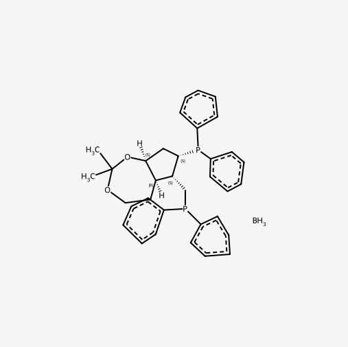 B.CC1(C)OCC[C@@H]2[C@@H](CP(c3ccccc3)c3ccccc3)[C@@H](P(c3ccccc3)c3ccccc3)C[C@@H]2O1